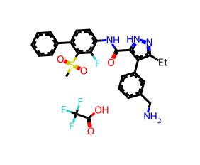 CCc1n[nH]c(C(=O)Nc2ccc(-c3ccccc3)c(S(C)(=O)=O)c2F)c1-c1cccc(CN)c1.O=C(O)C(F)(F)F